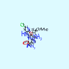 CO[C@H]1C[C@@H](Oc2ncc(Cl)cc2Nc2cc(N)n3ncc(C(N)=O)c3n2)C1